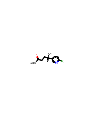 COC(=O)CCC(C)(C#N)c1ccc(Cl)nc1